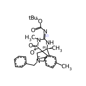 Cc1ccc(F)c([C@@]2(C)N/C(=N/C(=O)OC(C)(C)C)N(C)S(=O)(=O)C23CCN(Cc2ccccc2)C3)c1